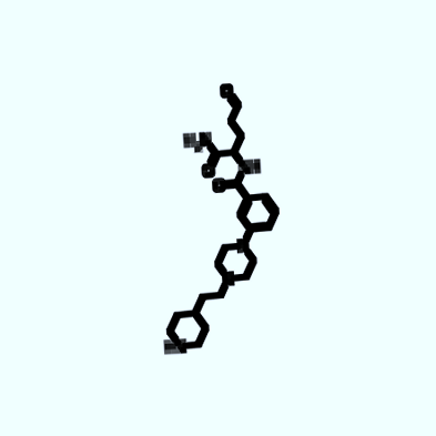 NC(=O)C(CCC=O)NC(=O)c1cccc(N2CCN(CCC3CCNCC3)CC2)c1